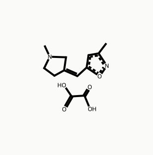 Cc1cc(C=C2CCN(C)C2)on1.O=C(O)C(=O)O